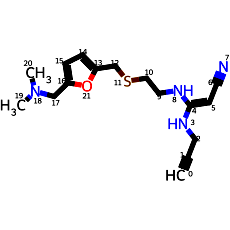 C#CCN/C(=C/C#N)NCCSCc1ccc(CN(C)C)o1